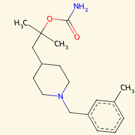 Cc1cccc(CN2CCC(CC(C)(C)OC(N)=O)CC2)c1